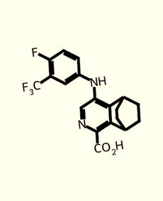 O=C(O)c1ncc(Nc2ccc(F)c(C(F)(F)F)c2)c2c1C1CCC2CC1